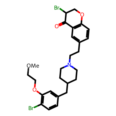 COCCOc1cc(CC2CCN(CCc3ccc4c(c3)C(=O)C(Br)CO4)CC2)ccc1Br